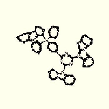 c1ccc([Si](c2ccccc2)(c2ccc(-c3nc(-n4c5ccccc5c5ccccc54)nc(-n4c5ccccc5n5c6ccccc6nc45)n3)cc2)c2cccc3c2sc2ccccc23)cc1